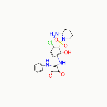 NC1CCCCN1S(=O)(=O)c1c(Cl)ccc(Nc2c(Nc3ccccc3)c(=O)c2=O)c1O